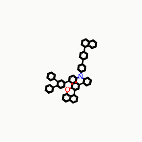 c1ccc(-c2ccc(-c3ccc(N(c4ccc(-c5ccc(-c6cccc7ccccc67)cc5)cc4)c4ccccc4-c4ccc5c(c4)-c4cccc6cccc(c46)O5)cc3)cc2-c2ccccc2)cc1